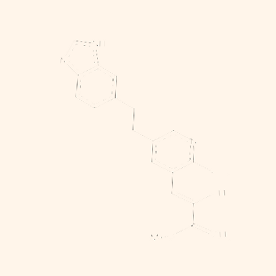 C=C(OC)/C(C)=C/c1cc(CCc2ccc3nc[nH]c3c2)cnc1C